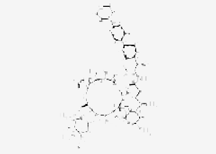 CC[C@H]1OC(=O)[C@H](C)[C@@H](O[C@H]2C[C@@](C)(OC)[C@@H](O)[C@H](C)O2)[C@H](C)[C@@H](O[C@@H]2O[C@H](C)C[C@H](N(C)CCC(=O)N[C@H](CF)[C@H](O)c3ccc(-c4ccc(N5CCOCC5)nc4)cc3)[C@H]2O)[C@](C)(O)C[C@@H](C)CN(C)[C@H](C)[C@@H](O)[C@]1(C)O